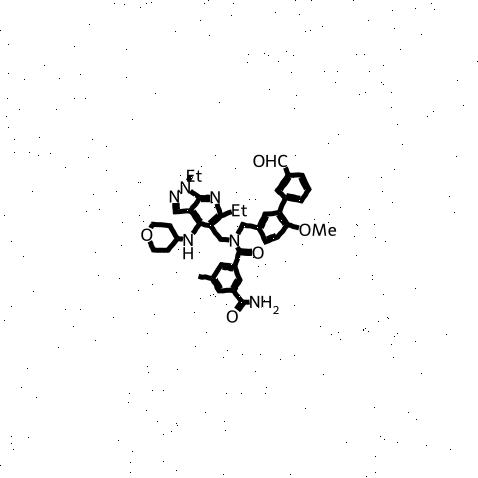 CCc1nc2c(cnn2CC)c(NC2CCOCC2)c1CN(Cc1ccc(OC)c(-c2cccc(C=O)c2)c1)C(=O)c1cc(C)cc(C(N)=O)c1